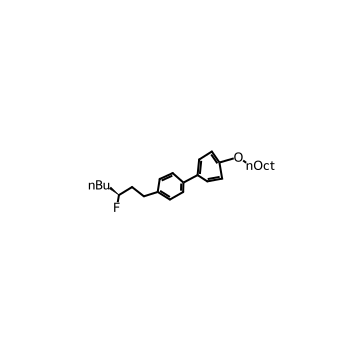 CCCCCCCCOc1ccc(-c2ccc(CC[C@@H](F)CCCC)cc2)cc1